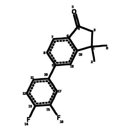 CC1(C)CC(=O)c2ccc(-c3ccc(F)c(F)c3)cc21